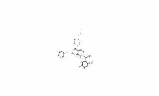 C=CC(=O)N1CCN(c2nc(OCc3cccnc3)nc3c(Oc4c(Cl)c(F)cc(N)c4C=N)nccc23)CC1